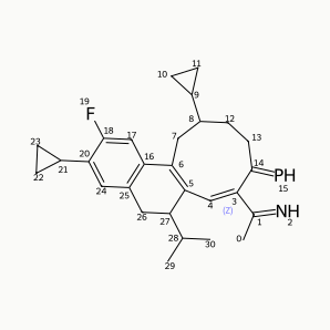 CC(=N)/C1=C/C2=C(CC(C3CC3)CCC1=P)c1cc(F)c(C3CC3)cc1CC2C(C)C